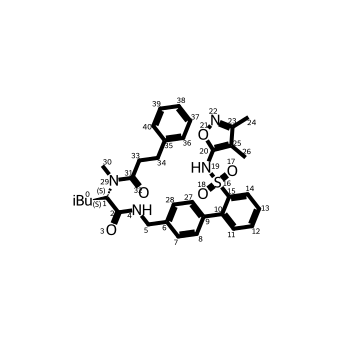 CC[C@H](C)[C@@H](C(=O)NCc1ccc(-c2ccccc2S(=O)(=O)Nc2onc(C)c2C)cc1)N(C)C(=O)CCc1ccccc1